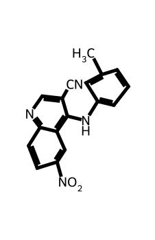 Cc1cccc(Nc2c(C#N)cnc3ccc([N+](=O)[O-])cc23)c1